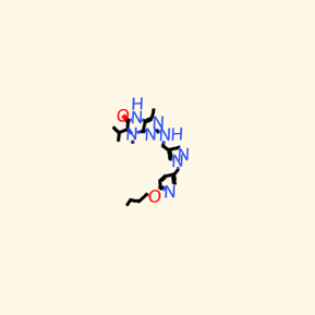 CCCCOc1ccc(Cn2cc(CNc3nc(C)c4c(n3)N(C)C(C(C)C)C(=O)N4)cn2)cn1